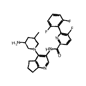 CC1CC(N)CN(c2c(NC(=O)c3ccc(F)c(-c4c(F)cccc4F)n3)cnc3c2CCC3)C1